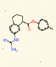 Cc1ccc(OC(=O)C2CCCc3ccc(NC(=N)N)cc32)cc1